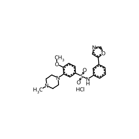 COc1ccc(S(=O)(=O)Nc2cccc(-c3cnco3)c2)cc1N1CCN(C)CC1.Cl